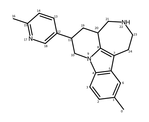 Cc1ccc2c(c1)c1c3n2CC(c2ccc(C)nc2)CC3CNCC1